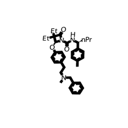 CCC[C@@H](NC(=O)N1C(=O)C(CC)(CC)[C@@H]1Oc1ccc(CCN(C)Cc2ccccc2)cc1)c1ccc(C)cc1